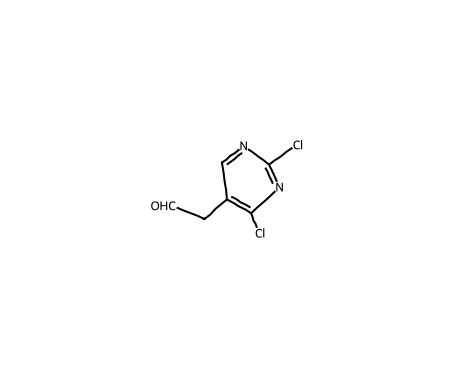 O=CCc1cnc(Cl)nc1Cl